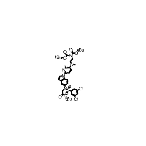 CN(CCN(C(=O)OC(C)(C)C)C(=O)OC(C)(C)C)c1ccc(-n2ccc3cc(N(CC(=O)OC(C)(C)C)S(=O)(=O)C4C=C(Cl)C=C(Cl)C4)ccc32)nn1